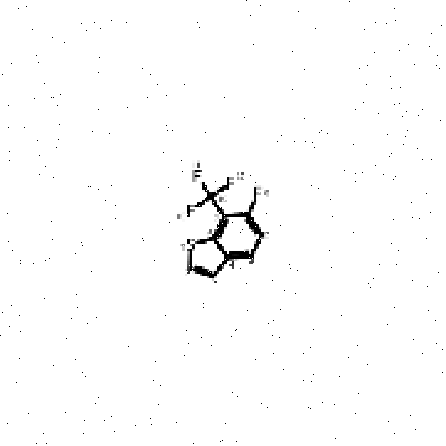 Fc1ccc2ccsc2c1C(F)(F)F